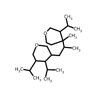 CC(C)C1COCC(CC(C)C2(C)CCOCC2C(C)C)C1C(C)C